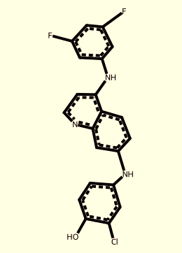 Oc1ccc(Nc2ccc3c(Nc4cc(F)cc(F)c4)ccnc3c2)cc1Cl